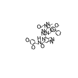 COc1ccc(Cn2c(-c3nc(C(=O)NCc4ccc(OC)cc4OC)cc4c3cnn4C)nnc2-c2c(OCc3ccccc3)c(C)nn2CC=O)cc1